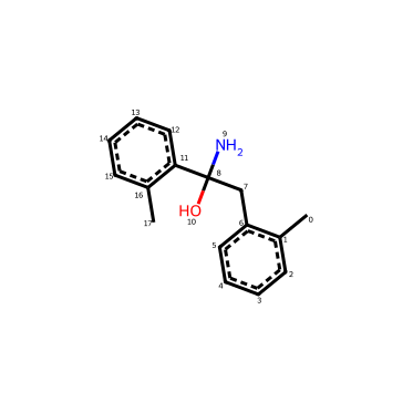 Cc1ccccc1CC(N)(O)c1ccccc1C